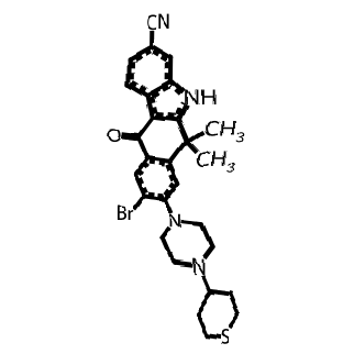 CC1(C)c2cc(N3CCN(C4CCSCC4)CC3)c(Br)cc2C(=O)c2c1[nH]c1cc(C#N)ccc21